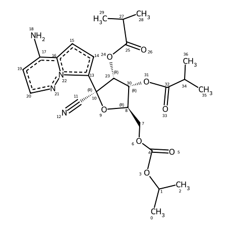 CC(C)OC(=O)OC[C@H]1O[C@@](C#N)(c2ccc3c(N)ccnn23)[C@H](OC(=O)C(C)C)[C@@H]1OC(=O)C(C)C